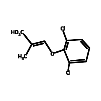 CC(=COc1c(Cl)cccc1Cl)C(=O)O